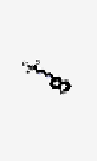 CCN(C)C(=O)/C=C/C=C/c1ccc2ncccc2c1